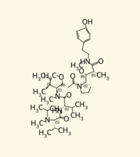 CC[C@H](C)[C@@H]([C@@H](CC(=O)N1CCC[C@H]1[C@H](OC)[C@@H](C)C(=O)NCCc1ccc(O)cc1)OC)N(C)C(=O)[C@@H](NC(=O)[C@H](C(C)C)N(C)C(C)C)C(C)C